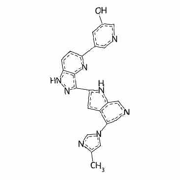 Cc1cn(-c2cncc3[nH]c(-c4n[nH]c5ccc(-c6cncc(O)c6)nc45)cc23)cn1